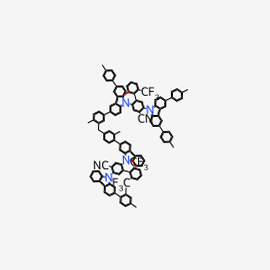 Cc1ccc(-c2ccc3c(c2)c2cc(-c4ccc(C)cc4)ccc2n3-c2cc(-c3c(C)cccc3C(F)(F)F)c(-n3c4ccc(-c5ccc(C)cc5)cc4c4cc(-c5ccc(C)c(Cc6ccc(-c7ccc8c9ccccc9n(-c9cc(C#N)c(-n%10c%11ccccc%11c%11ccc(-c%12ccc(C)cc%12C)cc%11%10)cc9-c9c(C(F)(F)F)cccc9C(F)(F)F)c8c7)c(C)c6)c5)ccc43)cc2C#N)cc1